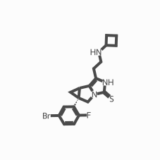 Fc1ccc(Br)cc1[C@]12CC1c1c(CCNC3CCC3)[nH]c(=S)n1C2